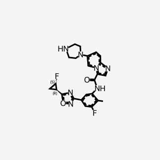 Cc1c(F)cc(-c2noc([C@H]3C[C@@H]3F)n2)cc1NC(=O)c1cnc2ccc(N3CCNCC3)cn12